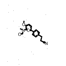 COc1ccc(-c2ccc(CCC#N)cc2)cc1N(C)C=O